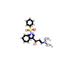 CN(C)C=CC(=O)c1cn(S(=O)(=O)c2ccccc2)c2ccccc12